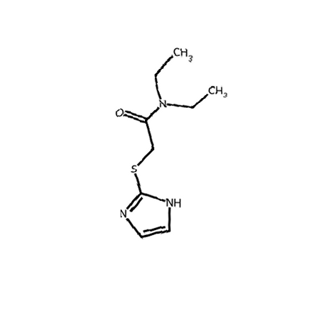 CCN(CC)C(=O)CSc1ncc[nH]1